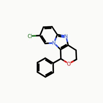 Clc1ccc2nc3c(n2c1)C(c1ccccc1)OCC3